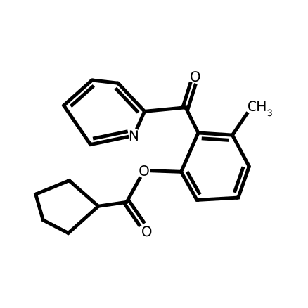 Cc1cccc(OC(=O)C2CCCC2)c1C(=O)c1ccccn1